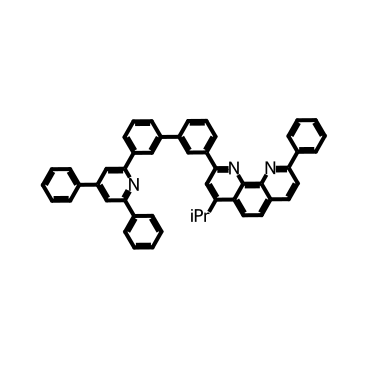 CC(C)c1cc(-c2cccc(-c3cccc(-c4cc(-c5ccccc5)cc(-c5ccccc5)n4)c3)c2)nc2c1ccc1ccc(-c3ccccc3)nc12